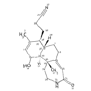 CC1=CC(O)[C@H]2[C@@H](CCC3=CC(=O)NCC[C@@]32C)[C@@H]1CCC#N